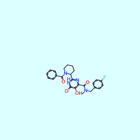 CN(Cc1ccc(F)cc1)C(=O)c1nc(C2CCCCN2C(=O)c2ccccc2)[nH]c(=O)c1O